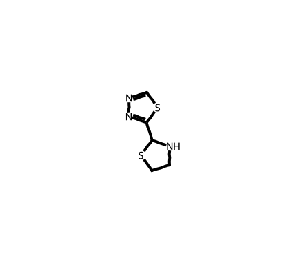 c1nnc(C2NCCS2)s1